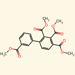 COC(=O)c1cccc(-c2ccc(C(=O)OC)c(C(=O)OC)c2C(=O)OC)c1